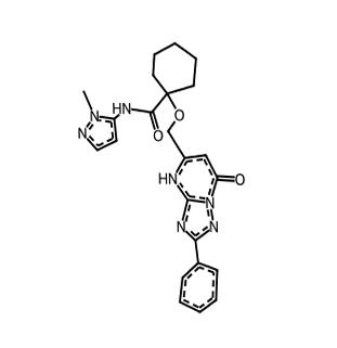 Cn1nccc1NC(=O)C1(OCc2cc(=O)n3nc(-c4ccccc4)nc3[nH]2)CCCCC1